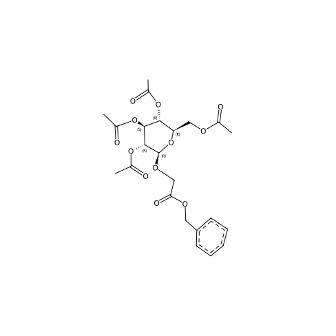 CC(=O)OC[C@H]1O[C@@H](OCC(=O)OCc2ccccc2)[C@H](OC(C)=O)[C@@H](OC(C)=O)[C@@H]1OC(C)=O